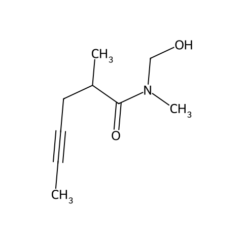 CC#CCC(C)C(=O)N(C)CO